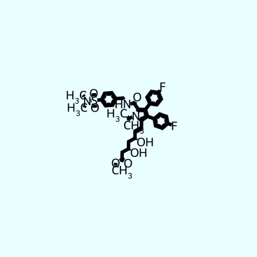 COC(=O)C[C@H](O)C[C@H](O)C=Cc1c(-c2ccc(F)cc2)c(-c2ccc(F)cc2)c(C(=O)NCc2ccc(S(=O)(=O)N(C)C)cc2)n1C(C)C